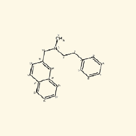 CN(CCc1ccccc1)Cc1[c]cc2ccccc2c1